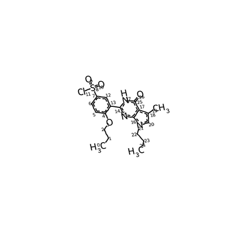 CCCOc1ccc(S(=O)(=O)Cl)cc1-c1nc2c(c(C)cn2CCC)c(=O)[nH]1